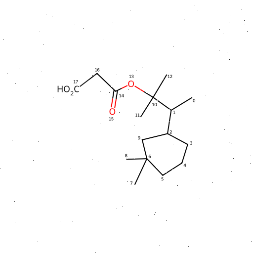 CC(C1CCCC(C)(C)C1)C(C)(C)OC(=O)CC(=O)O